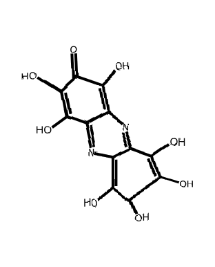 O=C1C(O)=C(O)c2nc3c(nc2=C1O)C(O)=C(O)C(O)C=3O